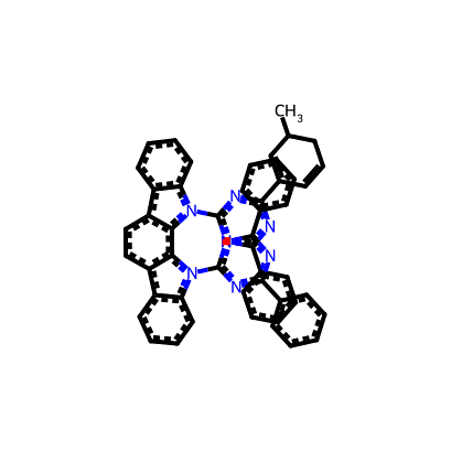 CC1C=C(c2nc(-c3ccccc3)nc(-n3c4ccccc4c4ccc5c6ccccc6n(-c6nc(-c7ccccc7)nc(-c7ccccc7)n6)c5c43)n2)C=CC1